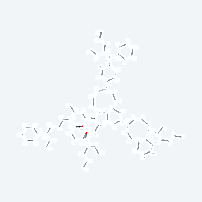 C=C/C=C\C(=C)n1cccc(-c2ccc3c(ccc(C4=CCC(N(/C(C=C)=C/C=C)c5ccccc5)C=C4)cccn3C(=C)/C=C\C(=C)C(=C)/C=C\C(=C)N(/C=C/C=C(\C=C)C3=CCCC=C3)c3ccc(/C(C=C)=C/C=C)cc3)c2)ccc2ccccc21